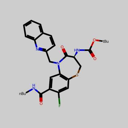 CCCCNC(=O)c1cc2c(cc1F)SC[C@H](NC(=O)OC(C)(C)C)C(=O)N2Cc1ccc2ccccc2n1